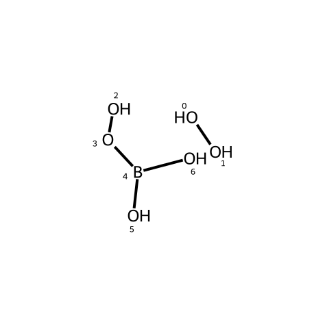 OO.OOB(O)O